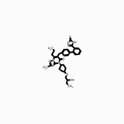 CCCc1c(Cc2ccc(-c3ccccc3-c3noc(=O)[nH]3)cc2)c(=O)n(C2CCC(OCC(O)CC)CC2)c2nc(C)nn12